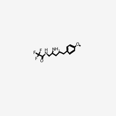 COc1ccc(CCCC(N)CNC(=O)C(F)(F)F)cc1